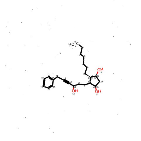 O=C(O)CCCCCC[C@@H]1C(CCC(O)C#CCc2ccccc2)[C@H](O)C[C@@H]1O